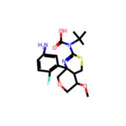 COC1COCC2(c3cc(N)ccc3F)N=C(N(C(=O)O)C(C)(C)C)SCC12